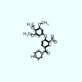 COc1cc(Oc2ccc(C(=O)N3CCNCC3)cc2[N+](=O)[O-])cc(OC)c1OC